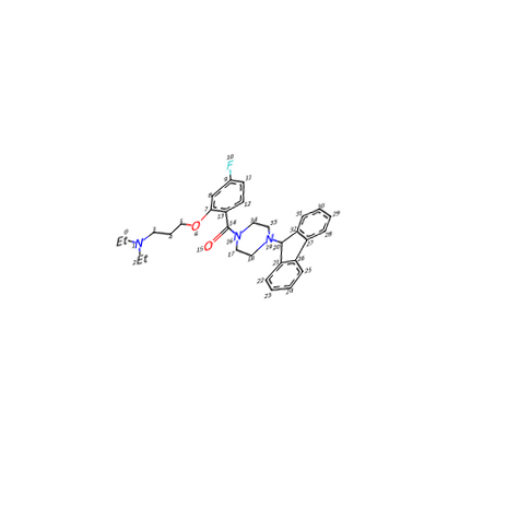 CCN(CC)CCCOc1cc(F)ccc1C(=O)N1CCN(C2c3ccccc3-c3ccccc32)CC1